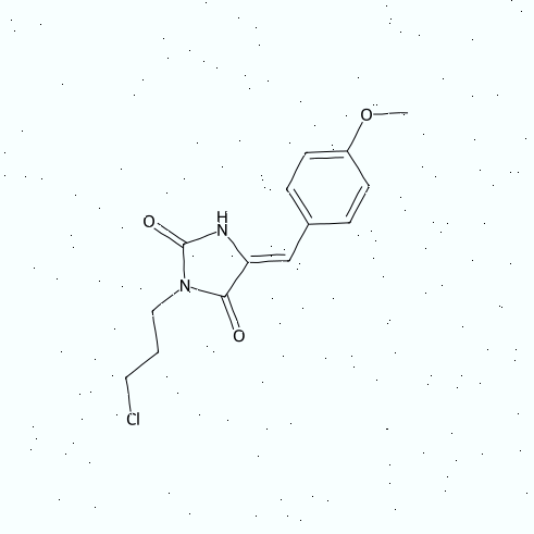 COc1ccc(/C=C2\NC(=O)N(CCCCl)C2=O)cc1